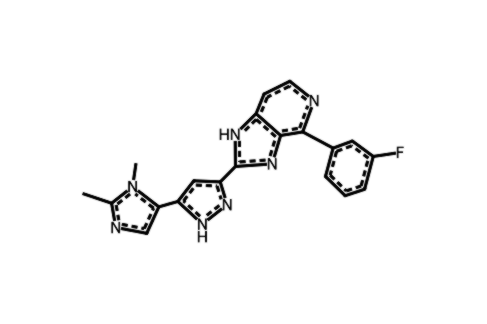 Cc1ncc(-c2cc(-c3nc4c(-c5cccc(F)c5)nccc4[nH]3)n[nH]2)n1C